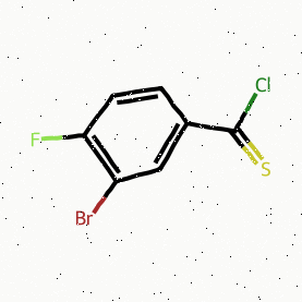 Fc1ccc(C(=S)Cl)cc1Br